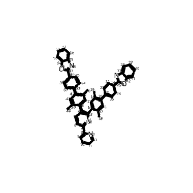 Cc1cc(-c2ccc(-c3ccccn3)nc2-c2cc(C)c(-c3ccc(-c4nc5ccccc5o4)cc3)cc2C)c(C)cc1-c1ccc(-c2nc3ccccc3o2)cc1